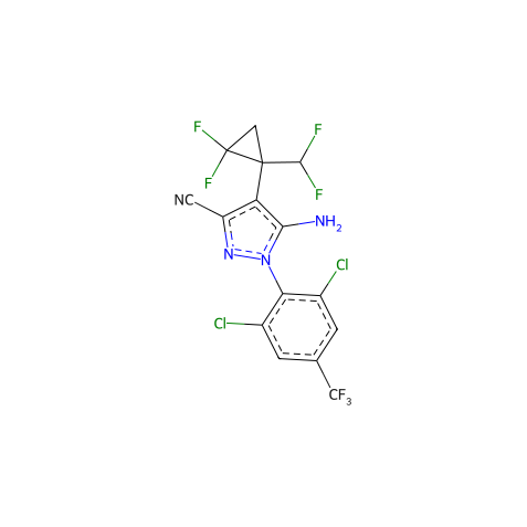 N#Cc1nn(-c2c(Cl)cc(C(F)(F)F)cc2Cl)c(N)c1C1(C(F)F)CC1(F)F